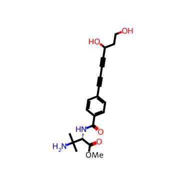 COC(=O)[C@@H](NC(=O)c1ccc(C#CC#CC(O)CCO)cc1)C(C)(C)N